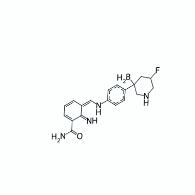 BC1(c2ccc(N/C=C3/C=CC=C(C(N)=O)C3=N)cc2)CNCC(F)C1